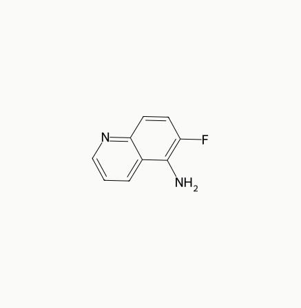 Nc1c(F)ccc2ncccc12